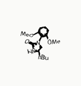 CCCCc1cn(-c2c(OC)cccc2OC)c(=O)[nH]1